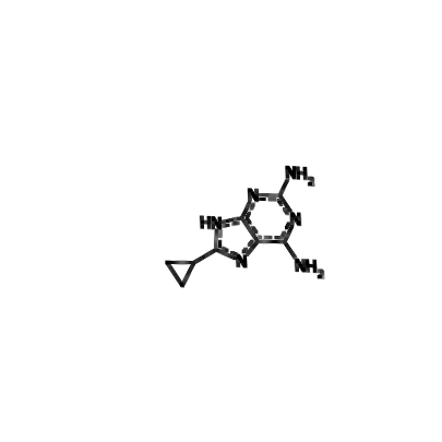 Nc1nc(N)c2nc(C3CC3)[nH]c2n1